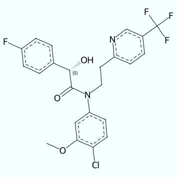 COc1cc(N(CCc2ccc(C(F)(F)F)cn2)C(=O)[C@@H](O)c2ccc(F)cc2)ccc1Cl